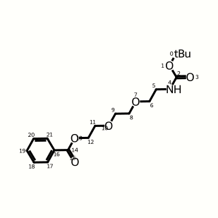 CC(C)(C)OC(=O)NCCOCCOCCOC(=O)c1ccccc1